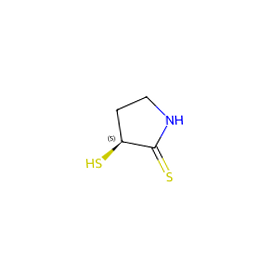 S=C1NCC[C@@H]1S